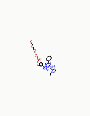 CCN1CCCC1CNc1nc(C2CCCCCC2)nc(N(N)c2ccc(OC(=O)CCOCCOCCOCCOC)c(F)c2)n1